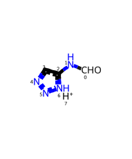 O=CNc1cnn[nH]1.[H+]